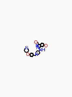 COCc1nnc(NC2CCN(Cc3ccc(OC4CCCN(C)CC4)cc3)CC2)c2cc(OC)ccc12